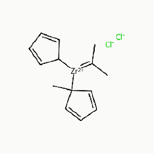 C[C](C)=[Zr+2]([CH]1C=CC=C1)[C]1(C)C=CC=C1.[Cl-].[Cl-]